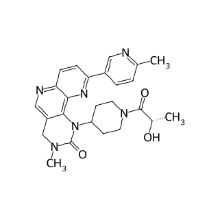 Cc1ccc(-c2ccc3ncc4c(c3n2)N(C2CCN(C(=O)[C@H](C)O)CC2)C(=O)N(C)C4)cn1